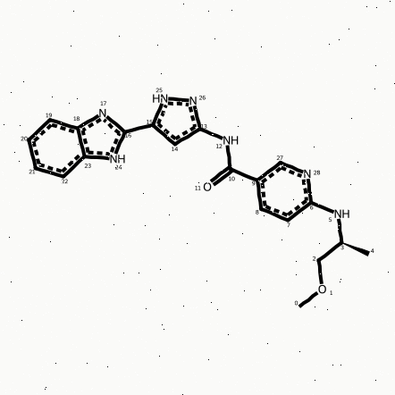 COC[C@H](C)Nc1ccc(C(=O)Nc2cc(-c3nc4ccccc4[nH]3)[nH]n2)cn1